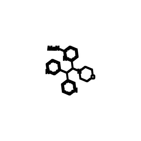 CNc1cccc(C(C(c2cccnc2)c2cccnc2)N2CCOCC2)n1